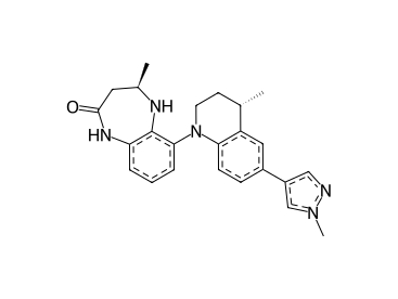 C[C@@H]1CC(=O)Nc2cccc(N3CC[C@H](C)c4cc(-c5cnn(C)c5)ccc43)c2N1